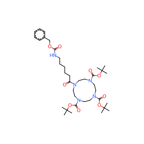 CC(C)(C)OC(=O)N1CCN(C(=O)CCCCCNC(=O)OCc2ccccc2)CCN(C(=O)OC(C)(C)C)CCN(C(=O)OC(C)(C)C)CC1